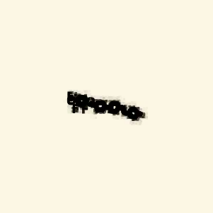 CCOc1ccc(OCC2C=CC(C3CCC(/C=C/C4CCC(C)CC4)CC3)CC2)c(F)c1F